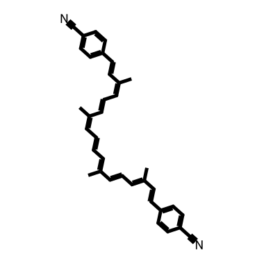 CC(C=CC=C(C)C=Cc1ccc(C#N)cc1)=CC=CC=C(C)C=CC=C(C)C=Cc1ccc(C#N)cc1